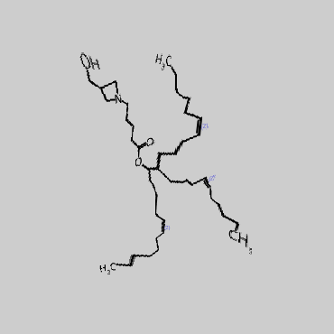 CCCCC/C=C\CCCC(CCC/C=C\CCCCC)C(CCC/C=C\CCCCC)OC(=O)CCCCN1CC(CO)C1